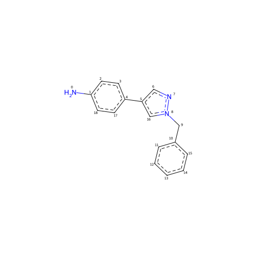 Nc1ccc(-c2cnn(Cc3ccccc3)c2)cc1